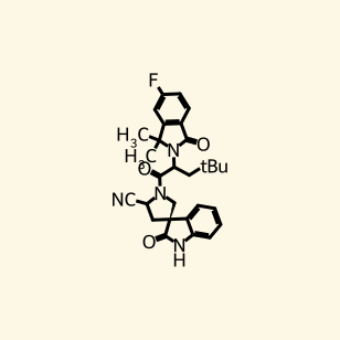 CC(C)(C)CC(C(=O)N1C[C@]2(CC1C#N)C(=O)Nc1ccccc12)N1C(=O)c2ccc(F)cc2C1(C)C